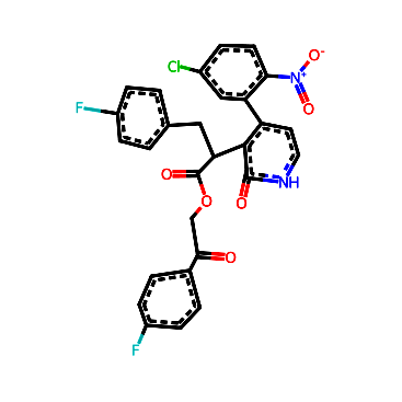 O=C(COC(=O)C(Cc1ccc(F)cc1)c1c(-c2cc(Cl)ccc2[N+](=O)[O-])cc[nH]c1=O)c1ccc(F)cc1